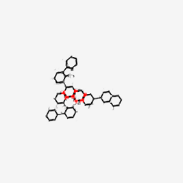 c1ccc(-c2ccccc2-c2c(-c3ccccc3)cccc2N(c2ccc(-c3ccc4ccccc4c3)cc2)c2ccc(-c3cccc4c3sc3ccccc34)cc2)cc1